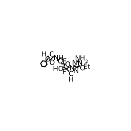 C#C[C@]1(F)[C@H](n2cnc3c(OCC)nc(N)nc32)O[C@](F)(COCNC(C)C(=O)OC2CCCCC2)[C@H]1O